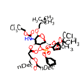 CCCCCCCCCCC[C@H](CC(=O)O[C@@H]1[C@@H](NC(=O)OCC(Cl)(Cl)Cl)[C@H](OCC[Si](C)(C)C)O[C@H](COC(=O)OC(C)(C)C(Cl)(Cl)Cl)[C@H]1OP(=O)(Oc1ccccc1)Oc1ccccc1)OC(=O)CCCCCCCCCC